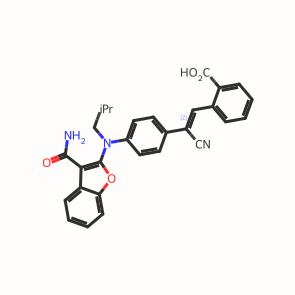 CC(C)CN(c1ccc(/C(C#N)=C/c2ccccc2C(=O)O)cc1)c1oc2ccccc2c1C(N)=O